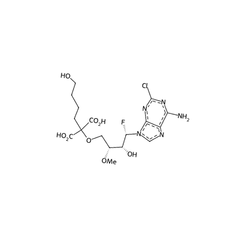 CO[C@H](COC(CCCCO)(C(=O)O)C(=O)O)[C@@H](O)[C@H](F)n1cnc2c(N)nc(Cl)nc21